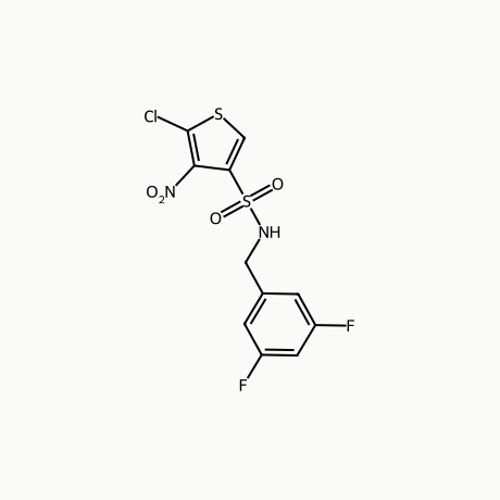 O=[N+]([O-])c1c(S(=O)(=O)NCc2cc(F)cc(F)c2)csc1Cl